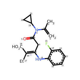 C=C(C)N(C(=O)C/C(Nc1ccccc1F)=C(/CC)C(=O)O)C1CC1